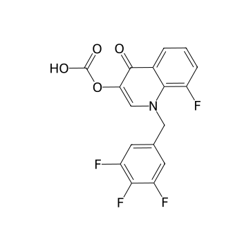 O=C(O)Oc1cn(Cc2cc(F)c(F)c(F)c2)c2c(F)cccc2c1=O